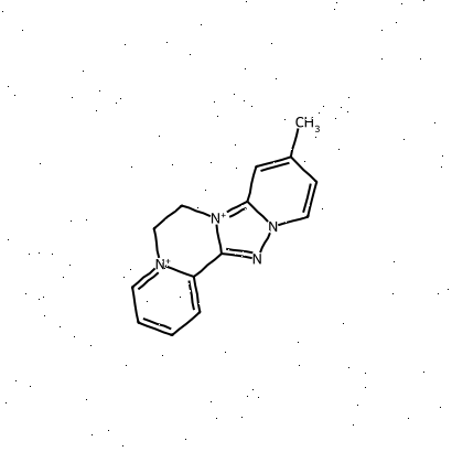 Cc1ccn2nc3[n+](c2c1)CC[n+]1ccccc1-3